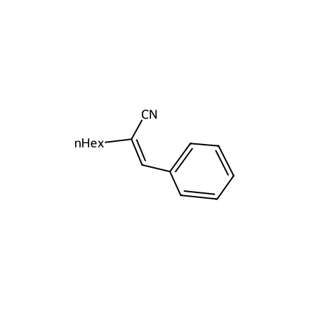 CCCCCCC(C#N)=Cc1ccccc1